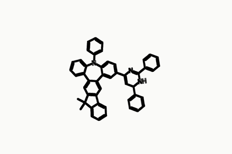 CC1(C)c2ccccc2-c2cc3c(cc21)-c1ccccc1N(c1ccccc1)c1ccc(C2=CC(c4ccccc4)NC(c4ccccc4)=N2)cc1-3